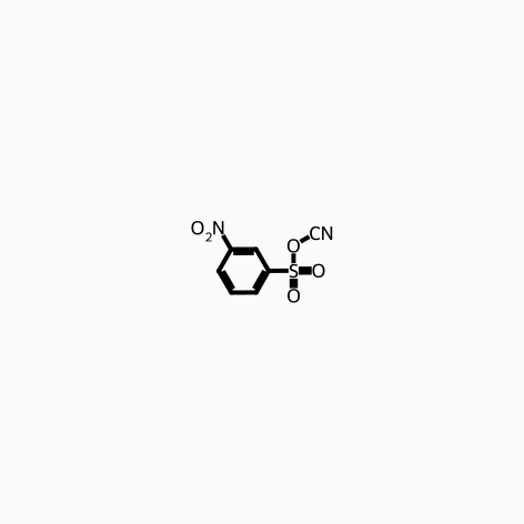 N#COS(=O)(=O)c1cccc([N+](=O)[O-])c1